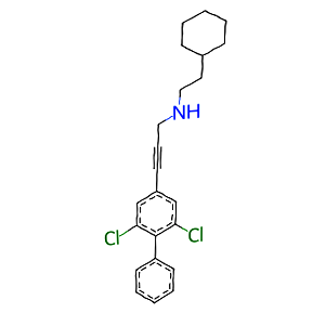 Clc1cc(C#CCNCCC2CCCCC2)cc(Cl)c1-c1ccccc1